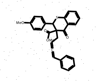 COC(=O)C1(CC=C=Cc2ccccc2)C(=O)c2ccccc2SC1c1ccc(OC)cc1